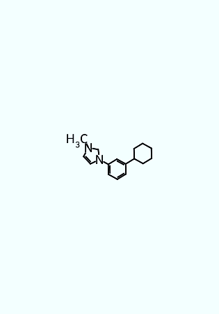 CN1C=CN(c2cccc(C3CCCCC3)c2)C1